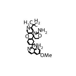 C=C(C)c1cc2c(cn1)OC1=C(CC(N)(c3nccc4cc(OC)cnc34)C=C1)C21CCOC(N)=N1